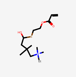 C=CC(=O)OCCSC(O)CC(C)(C)C[N+](C)(C)CC